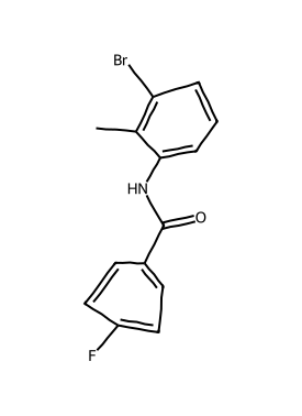 Cc1c(Br)cccc1NC(=O)c1ccc(F)cc1